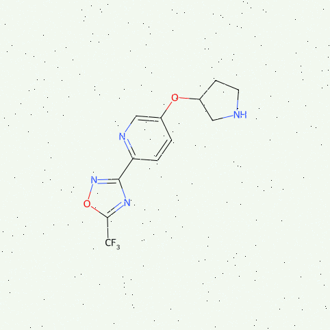 FC(F)(F)c1nc(-c2ccc(OC3CCNC3)cn2)no1